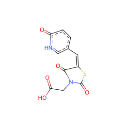 O=C(O)CN1C(=O)SC(=Cc2ccc(=O)[nH]c2)C1=O